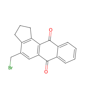 O=C1c2ccccc2C(=O)c2c1cc(CBr)c1c2CCC1